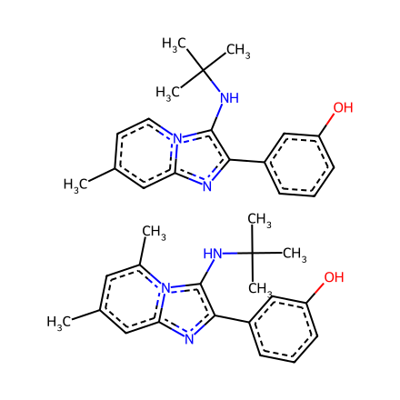 Cc1cc(C)n2c(NC(C)(C)C)c(-c3cccc(O)c3)nc2c1.Cc1ccn2c(NC(C)(C)C)c(-c3cccc(O)c3)nc2c1